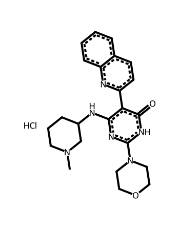 CN1CCCC(Nc2nc(N3CCOCC3)[nH]c(=O)c2-c2ccc3ccccc3n2)C1.Cl